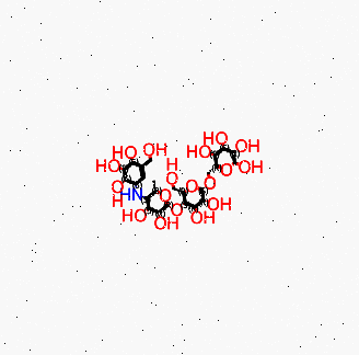 C[C@H]1O[C@H](O[C@H]2[C@H](O)[C@@H](O)[C@@H](OC[C@H]3OC(O)[C@H](O)[C@@H](O)[C@@H]3O)O[C@@H]2CO)[C@H](O)[C@@H](O)[C@@H]1N[C@H]1C=C(CO)[C@@H](O)[C@H](O)[C@H]1O